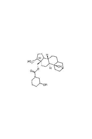 C[C@]12CCCCC1CC[C@H]1[C@@H]3CCC(C(=O)O)[C@@]3(COC(=O)N3CCCC(O)C3)CC[C@@H]12